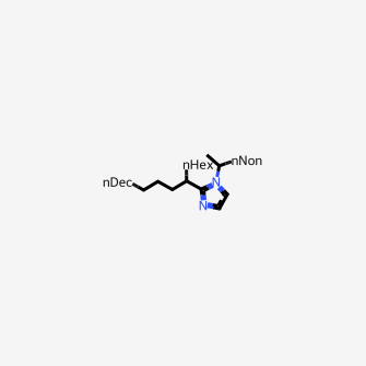 CCCCCCCCCCCCCC(CCCCCC)c1nccn1C(C)CCCCCCCCC